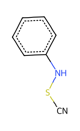 N#CSNc1ccccc1